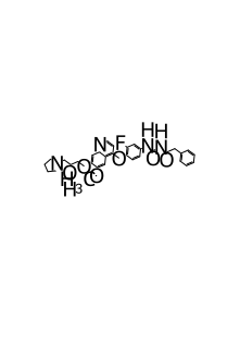 COc1cc2c(Oc3ccc(NC(=O)NC(=O)Cc4ccccc4)cc3F)ccnc2cc1OCC(O)CN1CCCC1